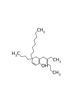 CCCC=C(CC)CC1=C(O)C=CC(CCCC)(CCCCCCCC)C1